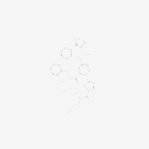 CCCCN(CCCC)C(=O)c1cc(C)n(-c2ccc(N[S+]([O-])c3c(-c4ccccc4)noc3C)cc2C(=O)N2Cc3ccccc3C[C@H]2CO)n1